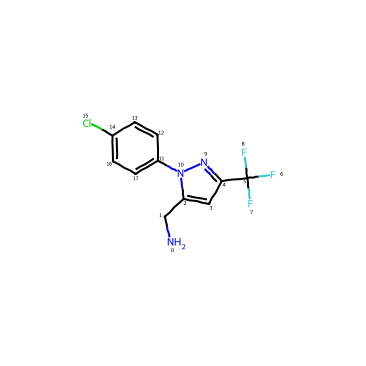 NCc1cc(C(F)(F)F)nn1-c1ccc(Cl)cc1